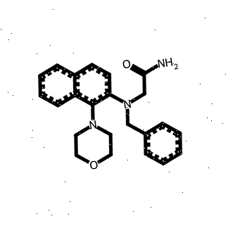 NC(=O)CN(Cc1ccccc1)c1ccc2ccccc2c1N1CCOCC1